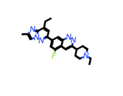 CCc1cc(-c2cc(F)c3cc(C4CCN(CC)CC4)nnc3c2)nn2cc(C)nc12